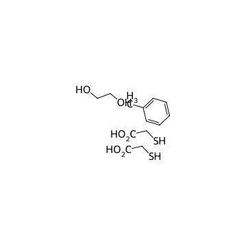 Cc1ccccc1.O=C(O)CS.O=C(O)CS.OCCO